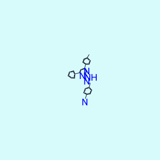 Cc1ccc(-c2cc(-c3ccccc3)nc(NN=Cc3ccc(C#N)cc3)n2)cc1